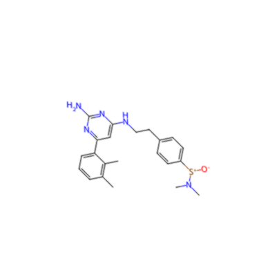 Cc1cccc(-c2cc(NCCc3ccc([S+]([O-])N(C)C)cc3)nc(N)n2)c1C